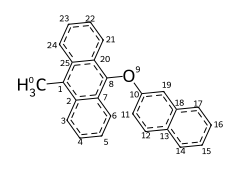 Cc1c2ccccc2c(Oc2ccc3ccccc3c2)c2ccccc12